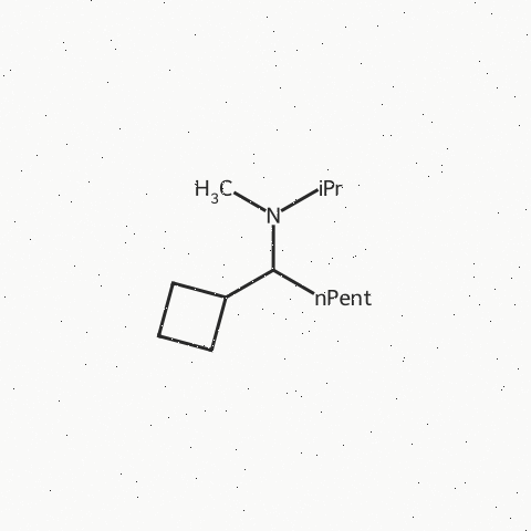 CCCCCC(C1CCC1)N(C)C(C)C